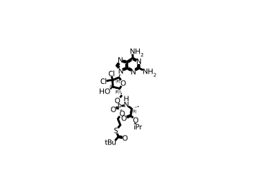 CC(C)OC(=O)[C@@H](C)NP(=O)(OCCSC(=O)C(C)(C)C)OC[C@H]1O[C@@H](n2cnc3c(N)nc(N)nc32)C(Cl)(Cl)[C@@H]1O